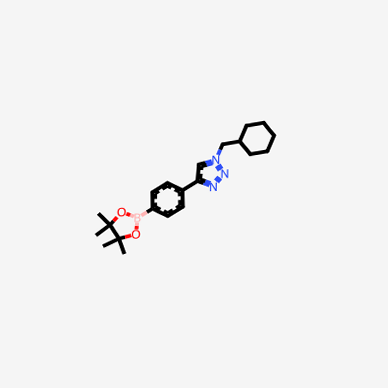 CC1(C)OB(c2ccc(-c3cn(CC4CCCCC4)nn3)cc2)OC1(C)C